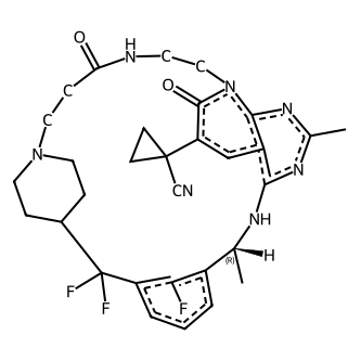 Cc1nc2c3cc(C4(C#N)CC4)c(=O)n(c3n1)CCNC(=O)CCN1CCC(CC1)C(F)(F)c1cccc(c1F)[C@@H](C)N2